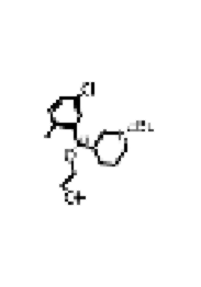 Cc1ccc(Cl)cc1[C@H](OCCO)C1CCCN(C(C)(C)C)C1